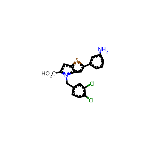 Nc1cccc(-c2cc3c(cc(C(=O)O)n3Cc3ccc(Cl)c(Cl)c3)s2)c1